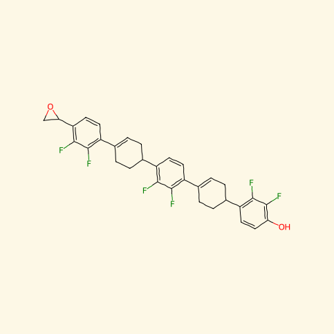 Oc1ccc(C2CC=C(c3ccc(C4CC=C(c5ccc(C6CO6)c(F)c5F)CC4)c(F)c3F)CC2)c(F)c1F